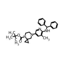 Cc1cc(N2CCN(C(=O)OC(C)(C)C)C3(CC3)C2)cnc1NC(c1ccccc1)c1ccccc1